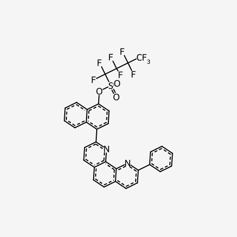 O=S(=O)(Oc1ccc(-c2ccc3ccc4ccc(-c5ccccc5)nc4c3n2)c2ccccc12)C(F)(F)C(F)(F)C(F)(F)C(F)(F)F